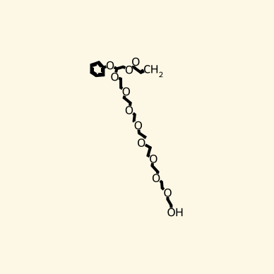 C=CC(=O)OCC(OCCOCCOCCOCCOCCOCCOCCOCCO)Oc1ccccc1